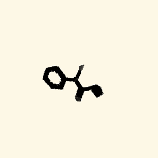 [CH]=CC(=O)N(F)c1ccccc1